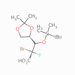 CC1(C)OC[C@H](C(O[Si](C)(C)C(C)(C)C)[C@](F)(Br)C(=O)O)O1